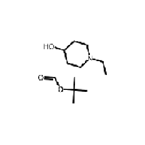 CC(C)(C)OC=O.CCN1CCC(O)CC1